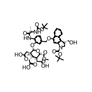 COC(=O)[C@H]1O[C@@H](Oc2cc(COc3cc4c(c5ccccc35)[C@H](CO)CN4C(=O)OC(C)(C)C)ccc2NC(=O)[C@H](C)NC(=O)OC(C)(C)C)[C@H](CC(=O)O)[C@@H](CC(=O)O)[C@@H]1CC(=O)O